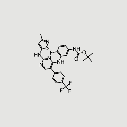 Cc1cc(Nc2ncc(-c3ccc(C(F)(F)F)cc3)c(Nc3cc(NC(=O)OC(C)(C)C)ccc3F)n2)sn1